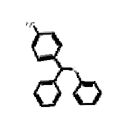 FC(F)(F)c1ccc(C(Oc2[c]cccc2)c2ccccc2)cc1